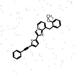 COc1ccccc1Cc1cccn2[c]c(-c3ccc(C#Cc4ccccc4)s3)nc12